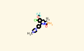 CC1Cc2cc(OC(F)(F)F)c(Cl)cc2C(c2ccc(N3CCN(C)CC3)cc2)=NN1C(=O)P